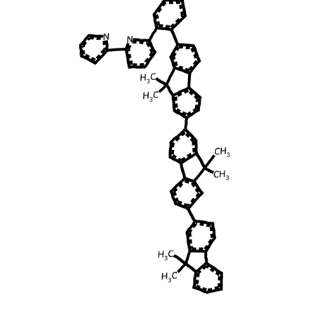 CC1(C)c2ccccc2-c2ccc(-c3ccc4c(c3)C(C)(C)c3cc(-c5ccc6c(c5)C(C)(C)c5cc(-c7ccccc7-c7cccc(-c8ccccn8)n7)ccc5-6)ccc3-4)cc21